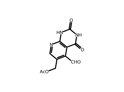 CC(=O)OCc1cnc2[nH]c(=O)[nH]c(=O)c2c1C=O